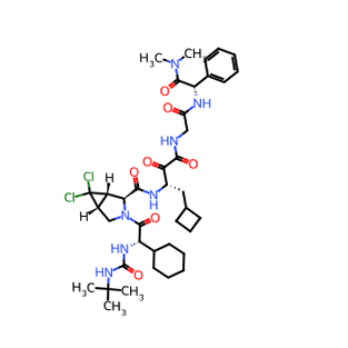 CN(C)C(=O)[C@@H](NC(=O)CNC(=O)C(=O)[C@H](CC1CCC1)NC(=O)[C@@H]1[C@@H]2[C@H](CN1C(=O)[C@@H](NC(=O)NC(C)(C)C)C1CCCCC1)C2(Cl)Cl)c1ccccc1